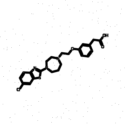 O=C(O)Cc1cccc(OCCN2CCCN(c3nc4ccc(Cl)cc4s3)CC2)c1